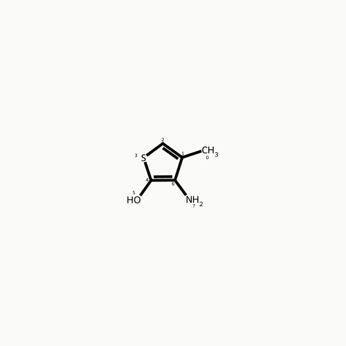 Cc1csc(O)c1N